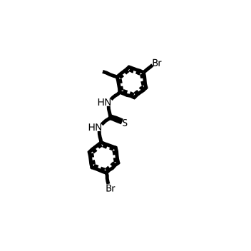 Cc1cc(Br)ccc1NC(=S)Nc1ccc(Br)cc1